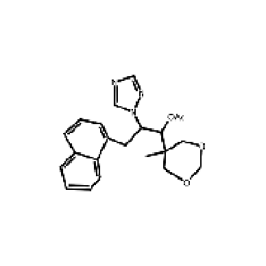 CC(=O)OC(C(Cc1cccc2ccccc12)n1cncn1)C1(C)COCOC1